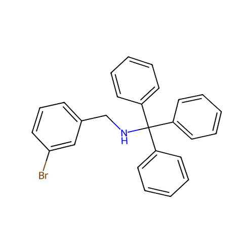 Brc1cccc(CNC(c2ccccc2)(c2ccccc2)c2ccccc2)c1